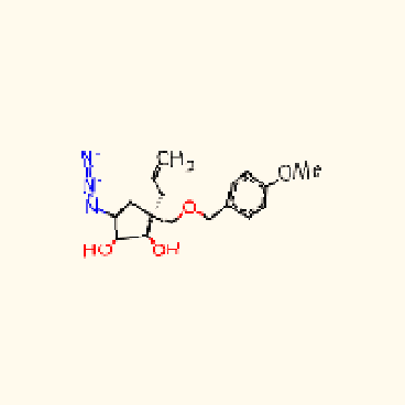 C=CC[C@@]1(COCc2ccc(OC)cc2)CC(N=[N+]=[N-])[C@H](O)[C@@H]1O